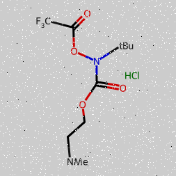 CNCCOC(=O)N(OC(=O)C(F)(F)F)C(C)(C)C.Cl